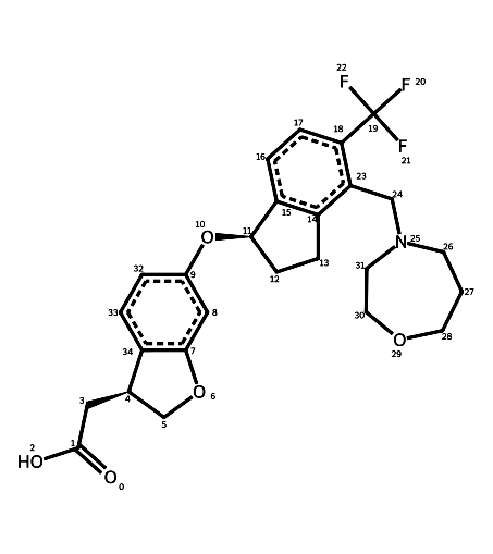 O=C(O)C[C@@H]1COc2cc(O[C@@H]3CCc4c3ccc(C(F)(F)F)c4CN3CCCOCC3)ccc21